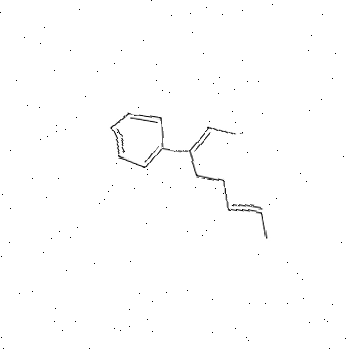 [CH2]C=C(CCC=CC)c1ccccc1